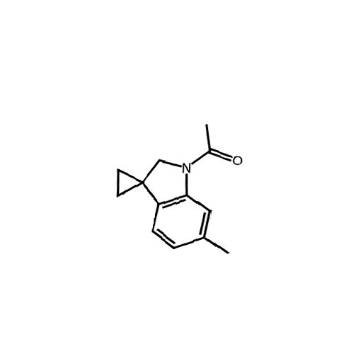 CC(=O)N1CC2(CC2)c2ccc(C)cc21